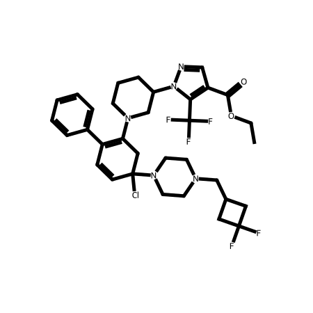 CCOC(=O)c1cnn(C2CCCN(C3=C(c4ccccc4)C=CC(Cl)(N4CCN(CC5CC(F)(F)C5)CC4)C3)C2)c1C(F)(F)F